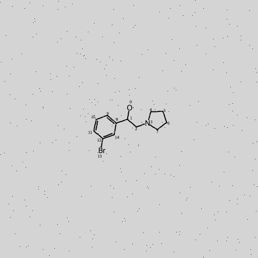 [O]C(CN1CCCC1)c1cccc(Br)c1